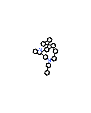 c1ccc(-c2ccc(N(c3ccc(-c4cc5ccccc5nc4-c4ccc5c(c4)C4(c6ccccc6-c6ccccc64)c4ccccc4-5)cc3)c3cccc(-c4ccccc4)c3)cc2)cc1